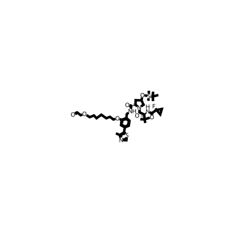 Cc1ncsc1-c1ccc(CNC(=O)[C@@H]2CC(O[Si](C)(C)C(C)(C)C)CN2C(=O)[C@@H](NC(=O)C2(F)CC2)C(C)(C)C)c(OCCCCCCCOCC=O)c1